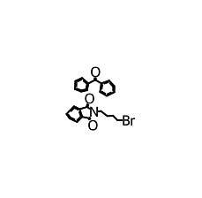 O=C(c1ccccc1)c1ccccc1.O=C1c2ccccc2C(=O)N1CCCCBr